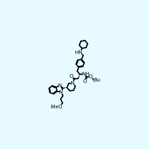 COCCCn1c([C@@H]2CCCN(C(=O)C[C@@H](Cc3ccc(CNC4CCCCC4)cc3)NC(=O)OC(C)(C)C)C2)nc2ccccc21